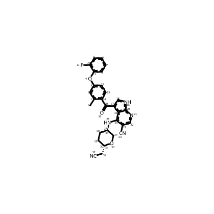 Cc1cc(Oc2ccccc2F)ccc1C(=O)c1c[nH]c2ncc(C#N)c(N[C@@H]3CC[C@@H](CC#N)OC3)c12